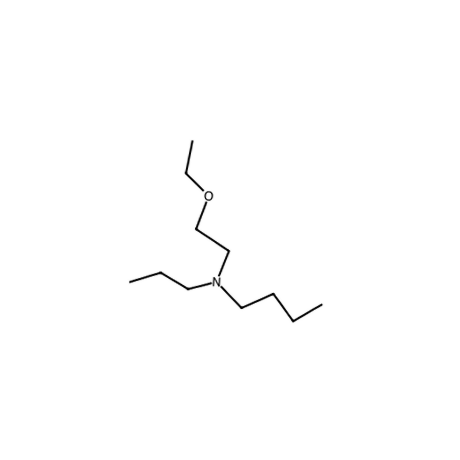 CCCCN(CCC)CCOCC